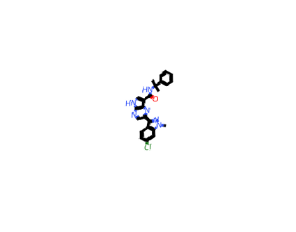 Cn1nc(-c2cnc3[nH]cc(C(=O)NC(C)(C)c4ccccc4)c3n2)c2ccc(Cl)cc21